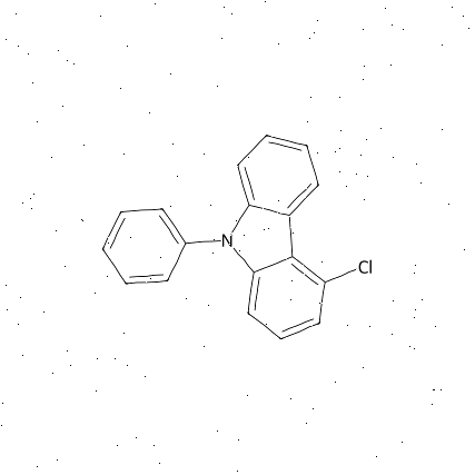 Clc1cccc2c1c1ccccc1n2-c1ccccc1